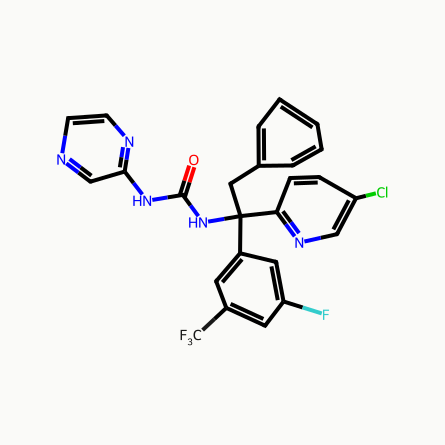 O=C(Nc1cnccn1)NC(Cc1ccccc1)(c1cc(F)cc(C(F)(F)F)c1)c1ccc(Cl)cn1